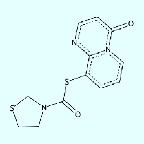 O=C(Sc1cccn2c(=O)ccnc12)N1CCSC1